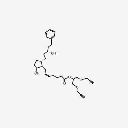 C#CCOCC(COCC#C)OC(=O)CCC/C=C\C[C@@H]1[C@@H](CC[C@@H](O)CCc2ccccc2)CC[C@@H]1O